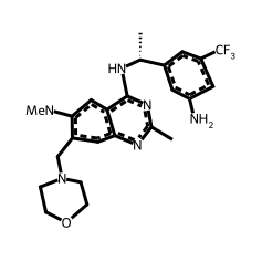 CNc1cc2c(N[C@H](C)c3cc(N)cc(C(F)(F)F)c3)nc(C)nc2cc1CN1CCOCC1